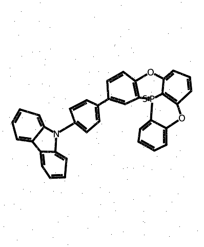 S=P12c3ccccc3Oc3cccc(c31)Oc1ccc(-c3ccc(-n4c5ccccc5c5ccccc54)cc3)cc12